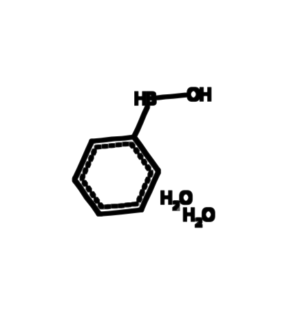 O.O.OBc1ccccc1